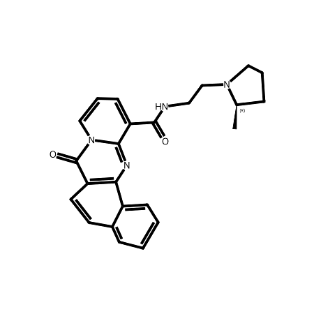 C[C@@H]1CCCN1CCNC(=O)c1cccn2c(=O)c3ccc4ccccc4c3nc12